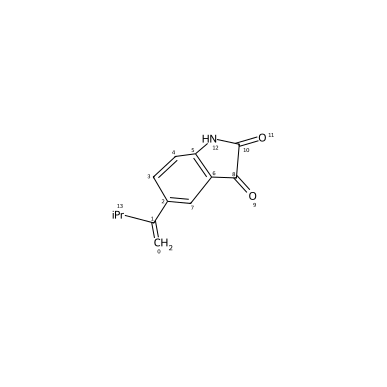 C=C(c1ccc2c(c1)C(=O)C(=O)N2)C(C)C